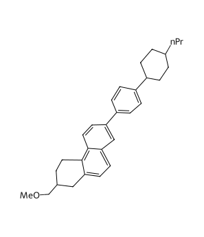 CCCC1CCC(c2ccc(-c3ccc4c5c(ccc4c3)CC(COC)CC5)cc2)CC1